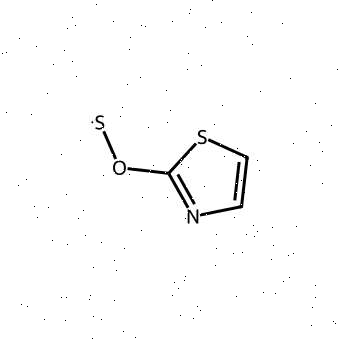 [S]Oc1nccs1